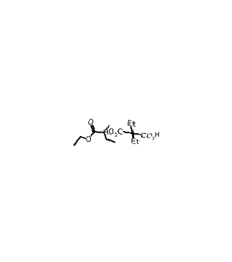 CCC(CC)(C(=O)O)C(=O)O.CCOC(=O)[C@@H](C)CC